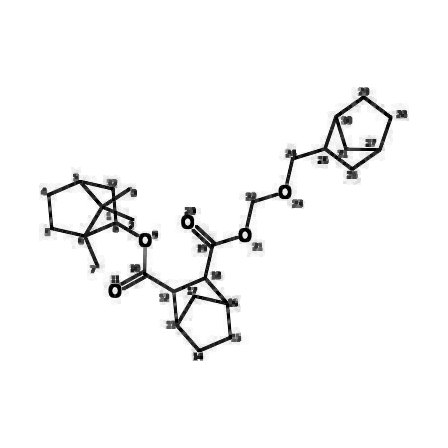 CC1(C)C2CCC1(C)C(OC(=O)C1C3CCC(C3)C1C(=O)OCOCC1CC3CCC1C3)C2